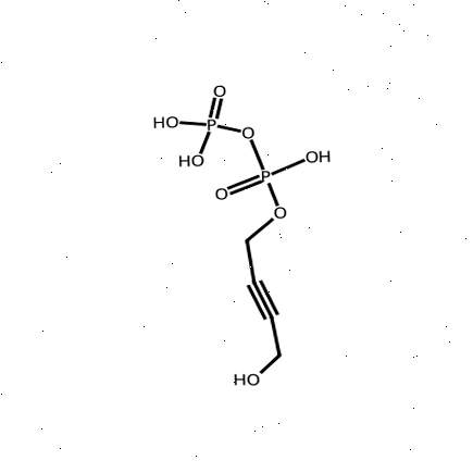 O=P(O)(O)OP(=O)(O)OCC#CCO